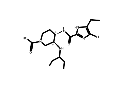 CCc1[nH]c(C(=O)N[C@H]2CCN(C(=O)O)C[C@@H]2NC(CC)CC)nc1Cl